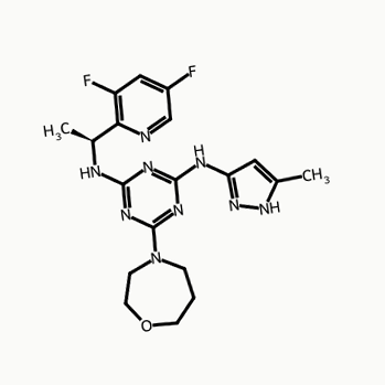 Cc1cc(Nc2nc(N[C@@H](C)c3ncc(F)cc3F)nc(N3CCCOCC3)n2)n[nH]1